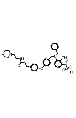 Cc1c(NS(C)(=O)=O)cccc1N(Cc1ccccc1)Cc1ccc(Oc2ccc(CCC(=O)NCCN3CCOCC3)cc2)cc1